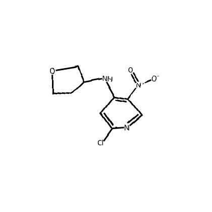 O=[N+]([O-])c1cnc(Cl)cc1NC1CCOC1